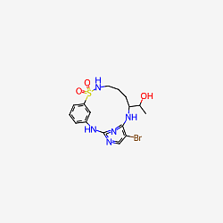 CC(O)C1CCCNS(=O)(=O)c2cccc(c2)Nc2ncc(Br)c(n2)N1